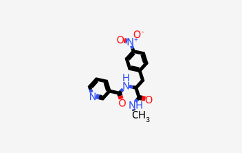 CNC(=O)C(Cc1ccc([N+](=O)[O-])cc1)NC(=O)c1cccnc1